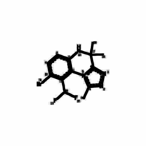 Cc1nnc2n1-c1c(ccc(Br)c1C(F)F)NC2(C)C